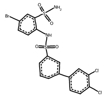 NS(=O)(=O)c1cc(Br)ccc1NS(=O)(=O)c1cccc(-c2ccc(Cl)c(Cl)c2)c1